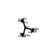 CC(=O)NC1C(O)[C@@H](O)C(CO)O[C@H]1OCCCCCOCC(C)(COCCCCCO[C@@H]1OC(CO)[C@H](O)C(O)C1NC(C)=O)COCCCCCO[C@@H]1OC(CO)[C@H](O)C(O)[C@H]1NC(C)=O